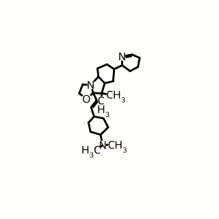 CN(C)C1CCC(C=CC23OCCN2C2CCC(C4CCCC=N4)CC2C3(C)C)CC1